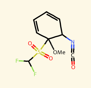 COC1(S(=O)(=O)C(F)F)C=CC=CC1N=C=O